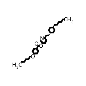 CCCCCCOc1ccc(C(=O)Oc2ccc(CC[C@H]3CC[C@H](CCCCCC)CC3)nc2)cc1